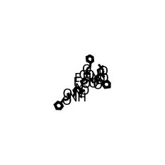 CC1(C)CC(NP(=O)(OC[C@H]2O[C@@H](n3ccc(NC(=O)OCc4ccccc4)nc3=O)C(F)(F)[C@@H]2OC(=O)OCc2ccccc2)Oc2ccccc2)C(=O)O1